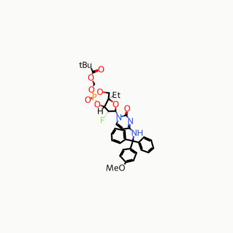 CC[C@@]12COP(=O)(OCOC(=O)C(C)(C)C)O[C@H]1[C@@H](F)[C@H](n1ccc(NC(c3ccccc3)(c3ccccc3)c3ccc(OC)cc3)nc1=O)O2